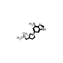 CN(C)CC1CCN(c2cc(N)c3n[c][nH]c3c2)C1